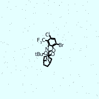 CC(C)(C)OC(=O)N1C2CCC1CN(c1nc3c(C(F)(F)F)c(Cl)cc(Br)c3o1)C2